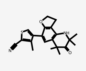 Cc1c(-c2cc3c(c4c2OCC4)NC(C)(C)C(=O)C3(C)C)csc1C#N